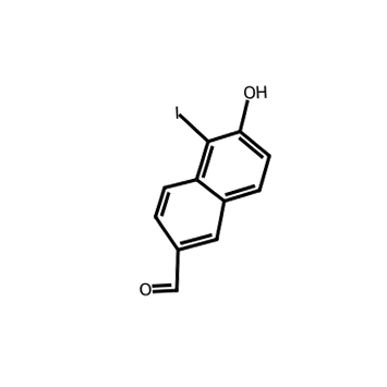 O=Cc1ccc2c(I)c(O)ccc2c1